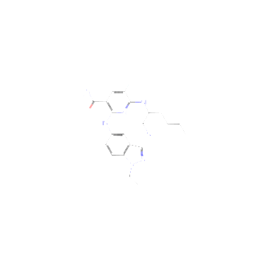 CCCCC(CN)Nc1nc(Nc2ccc3c(cnn3CC)c2)c(C(N)=O)cc1F